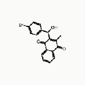 CC1=C(C(O)c2ccc(Br)cc2)C(=O)c2ccccc2C1=O